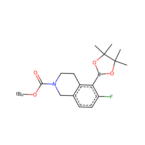 CC(C)(C)OC(=O)N1CCc2c(ccc(F)c2B2OC(C)(C)C(C)(C)O2)C1